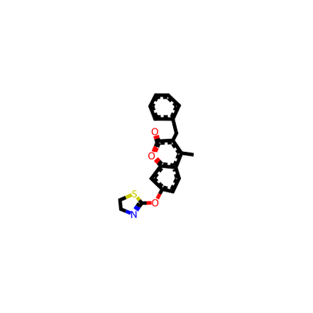 Cc1c(Cc2ccccc2)c(=O)oc2cc(OC3=NCCS3)ccc12